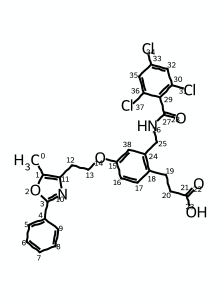 Cc1oc(-c2ccccc2)nc1CCOc1ccc(CCC(=O)O)c(CNC(=O)c2c(Cl)cc(Cl)cc2Cl)c1